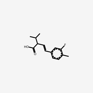 Cc1ccc(C=CC(C(=O)O)C(C)C)cc1F